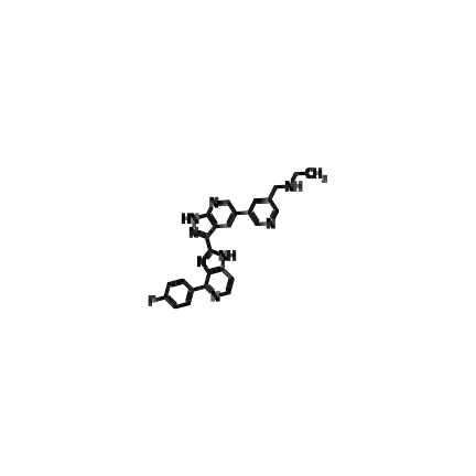 CCNCc1cncc(-c2cnc3[nH]nc(-c4nc5c(-c6ccc(F)cc6)nccc5[nH]4)c3c2)c1